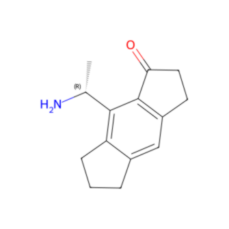 C[C@@H](N)c1c2c(cc3c1C(=O)CC3)CCC2